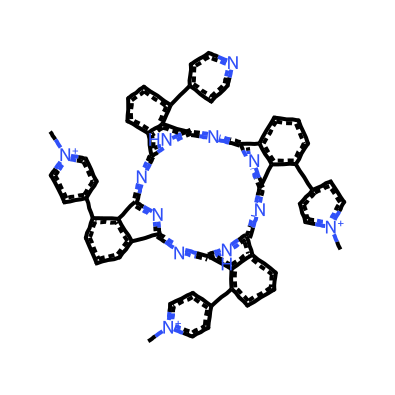 C[n+]1ccc(-c2cccc3c2-c2nc-3nc3[nH]c(nc4nc(nc5[nH]c(n2)c2cccc(-c6ccncc6)c52)-c2cccc(-c5cc[n+](C)cc5)c2-4)c2cccc(-c4cc[n+](C)cc4)c32)cc1